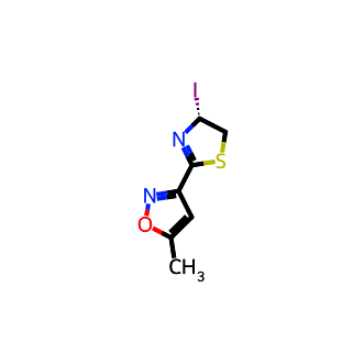 Cc1cc(C2=N[C@H](I)CS2)no1